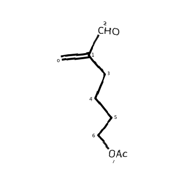 C=C(C=O)CCCCOC(C)=O